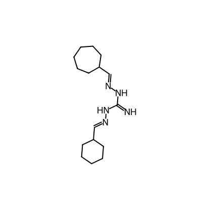 N=C(N/N=C/C1CCCCCC1)N/N=C/C1CCCCC1